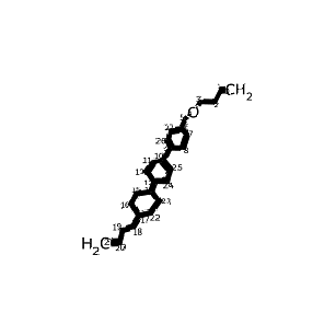 C=CCCOCc1ccc(-c2ccc(C3CCC(CCC=C)CC3)cc2)cc1